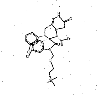 C=C(CC)[C@H]1N2CC(=O)NN=C2C[C@@H](c2cccc(Cl)c2)[C@]12C(=O)N(COCC[Si](C)(C)C)c1cc(Cl)ccc12